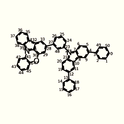 c1ccc(-c2ccc3c(c2)c2cc(-c4ccccc4)ccc2n3-c2cccc(-c3cc4c5c(c3)c3ccccc3n5-c3ccccc3O4)c2)cc1